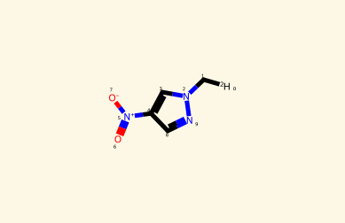 [2H]Cn1cc([N+](=O)[O-])cn1